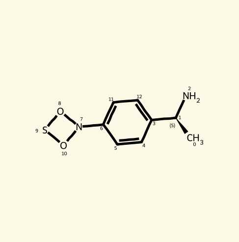 C[C@H](N)c1ccc(N2OSO2)cc1